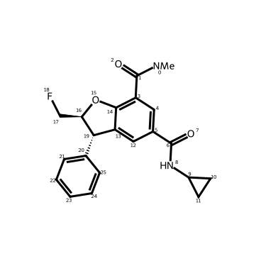 CNC(=O)c1cc(C(=O)NC2CC2)cc2c1O[C@H](CF)[C@H]2c1ccccc1